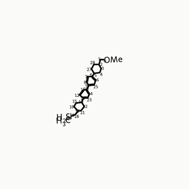 COCC1CCC(c2ccc(-c3ccc(C4CCC(C[SiH2]C)CC4)cc3)cc2)CC1